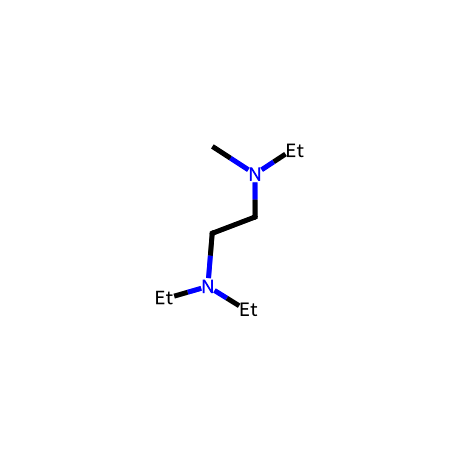 CCN(C)CCN(CC)CC